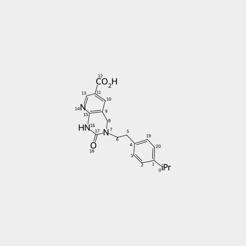 CC(C)c1ccc(CCN2Cc3cc(C(=O)O)cnc3NC2=O)cc1